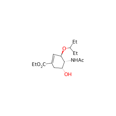 CCOC(=O)C1=C[C@@H](OC(CC)CC)[C@H](NC(C)=O)[C@H](O)C1